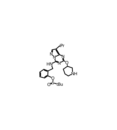 CC(C)c1cnn2c(NCc3ccccc3OS(=O)C(C)(C)C)nc(O[C@@H]3CCCNC3)nc12